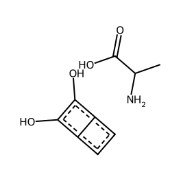 CC(N)C(=O)O.Oc1c2ccc-2c1O